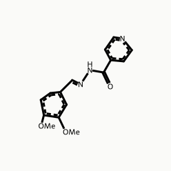 COc1ccc(C=NNC(=O)c2ccncc2)cc1OC